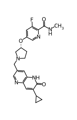 CNC(=O)c1ncc(O[C@@H]2CCN(Cc3cnc4cc(C5CC5)c(=O)[nH]c4c3)C2)cc1F